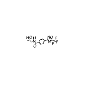 CC(O)CNC(=O)c1ccc(-c2noc(C(F)(F)F)n2)cc1